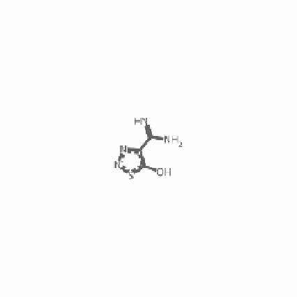 N=C(N)c1nnsc1O